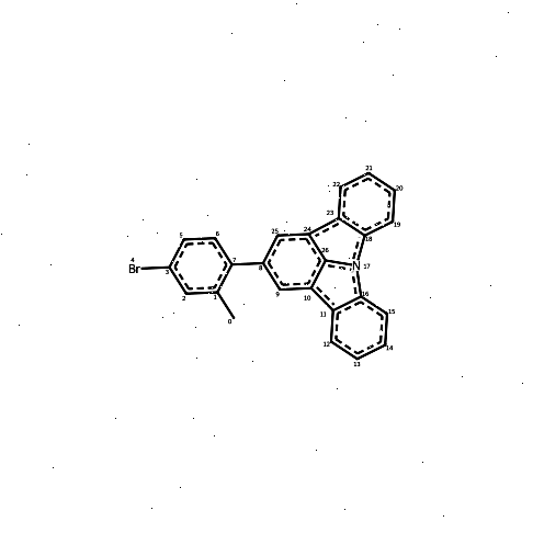 Cc1cc(Br)ccc1-c1cc2c3ccccc3n3c4ccccc4c(c1)c23